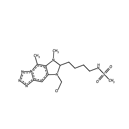 Cc1c2c(cc3nnnn13)N(CCl)C(CCCCNS(C)(=O)=O)N2C